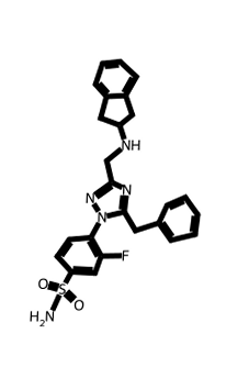 NS(=O)(=O)c1ccc(-n2nc(CNC3Cc4ccccc4C3)nc2Cc2ccccc2)c(F)c1